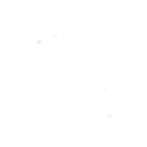 Cc1ccc(S(=O)(=O)OCCCCCCCCCCCCc2ccc3c(c2)C(=O)N(C2CCC(=O)NC2=O)C3=O)cc1